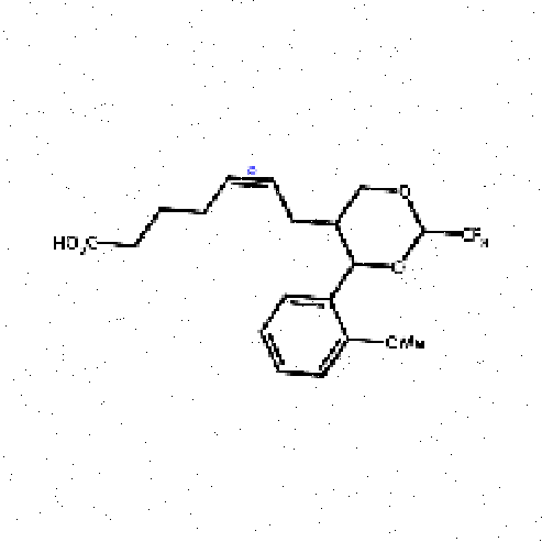 COc1ccccc1C1OC(C(F)(F)F)OCC1C/C=C\CCCC(=O)O